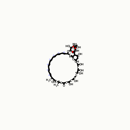 C[C@H]1C[C@H](O)[C@@H](C)/C=C/C=C/C=C/C=C/C=C/C=C/C=C/C(O[C@@H]2OC[C@@H](O)[C@H](N)[C@@H]2O)C[C@@H]2OC(O)(CC(O)CC(O)[C@H](O)CCC(O)CC(O)CC(=O)O1)C[C@H](O)C2C(=O)NC1CC1